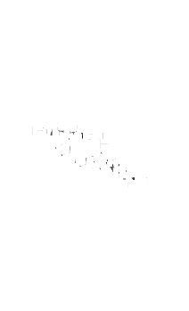 Cc1c(-c2ccc3cnc(Nc4cc5n(n4)CC(=O)N(C(C)C)CC5)cc3c2)cncc1N(C(=O)OC(C)(C)C)C(=O)OC(C)(C)C